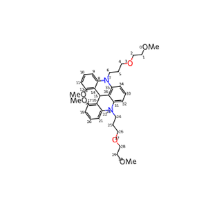 COCCOCCCN1c2cccc(OC)c2C2c3c(OC)cccc3N(CCCOCCOC)c3cccc1c32